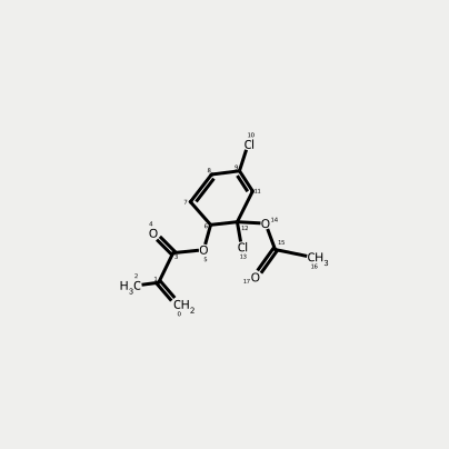 C=C(C)C(=O)OC1C=CC(Cl)=CC1(Cl)OC(C)=O